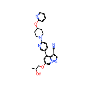 C[C@H](O)COc1cc(-c2ccc(N3CCC(Oc4ccccn4)CC3)nc2)c2c(C#N)cnn2c1